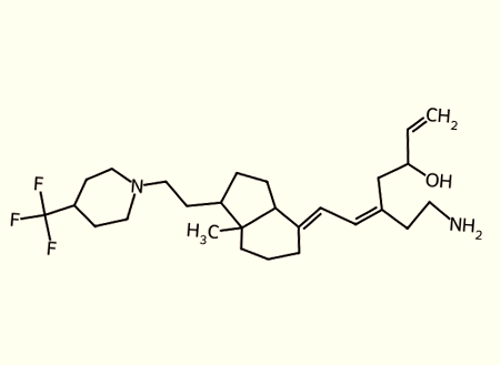 C=CC(O)C/C(=C\C=C1/CCCC2(C)C(CCN3CCC(C(F)(F)F)CC3)CCC12)CCN